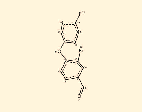 O=Cc1ccc(Oc2ccc(F)cc2)c(Br)c1